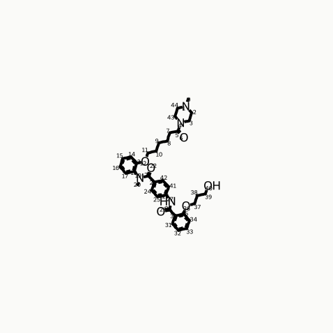 CN1CCN(C(=O)CCCCCOc2ccccc2N(C)C(=O)c2ccc(NC(=O)c3ccccc3OCCCO)cc2)CC1